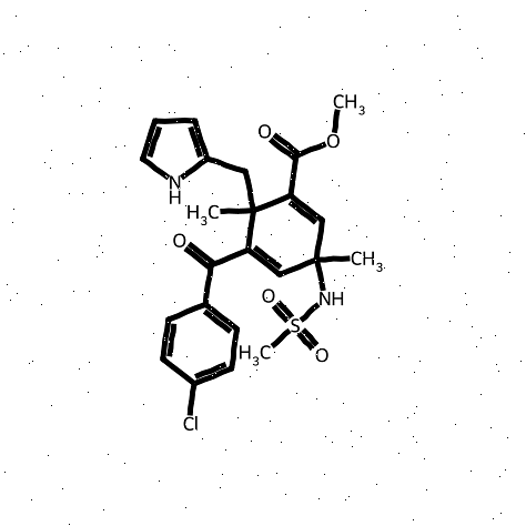 COC(=O)C1=CC(C)(NS(C)(=O)=O)C=C(C(=O)c2ccc(Cl)cc2)C1(C)Cc1ccc[nH]1